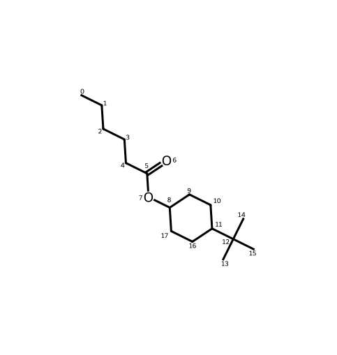 CCCCCC(=O)OC1CCC(C(C)(C)C)CC1